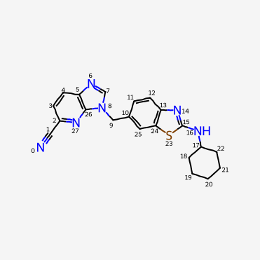 N#Cc1ccc2ncn(Cc3ccc4nc(NC5CCCCC5)sc4c3)c2n1